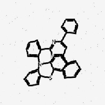 c1ccc(-c2cc(-c3ccccc3)nc(-c3ccccc3N3c4ccccc4Sc4ccccc43)n2)cc1